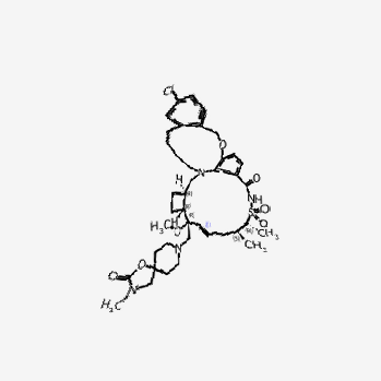 CO[C@@]1(CN2CCC3(CC2)CN(C)C(=O)O3)/C=C/C[C@H](C)[C@@H](C)S(=O)(=O)NC(=O)c2ccc3c(c2)N(CCCCc2cc(Cl)ccc2CO3)C[C@@H]2CC[C@H]21